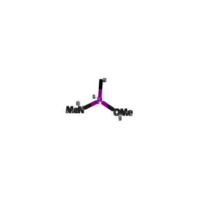 CNP(C)OC